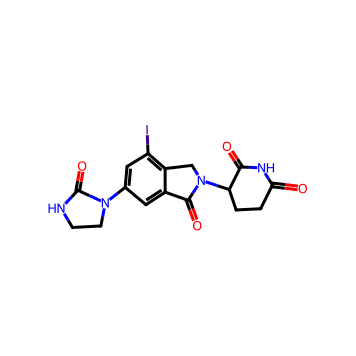 O=C1CCC(N2Cc3c(I)cc(N4CCNC4=O)cc3C2=O)C(=O)N1